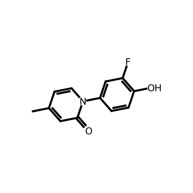 Cc1ccn(-c2ccc(O)c(F)c2)c(=O)c1